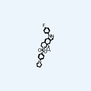 COC[C@]12Cc3cnn(-c4ccc(F)cc4)c3C=C1CCN(S(=O)(=O)c1ccc(N3CCCC3)cc1)C2